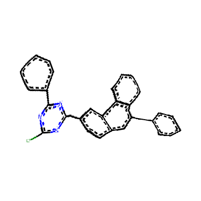 Clc1nc(-c2ccccc2)nc(-c2ccc3cc(-c4ccccc4)c4ccccc4c3c2)n1